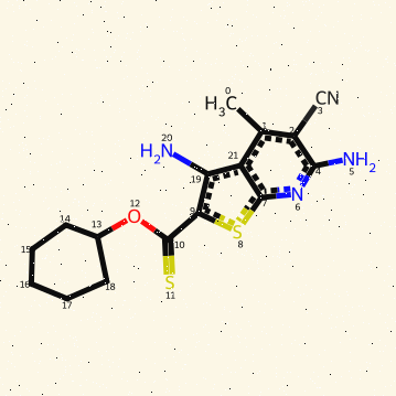 Cc1c(C#N)c(N)nc2sc(C(=S)OC3CCCCC3)c(N)c12